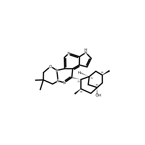 C[C@@H]1C[C@H]2C[C@@](O)(C1)C[C@@H](C)[C@@H]2C1=NN2CC(C)(C)COB2c2cnc3[nH]ccc3c21